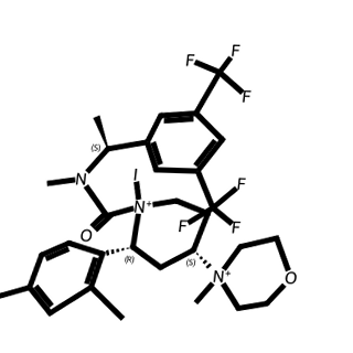 Cc1cc(F)ccc1[C@H]1C[C@@H]([N+]2(C)CCOCC2)CC[N+]1(I)C(=O)N(C)[C@@H](C)c1cc(C(F)(F)F)cc(C(F)(F)F)c1